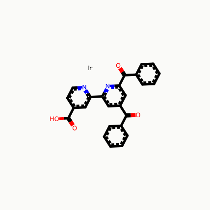 O=C(O)c1ccnc(-c2cc(C(=O)c3ccccc3)cc(C(=O)c3ccccc3)n2)c1.[Ir]